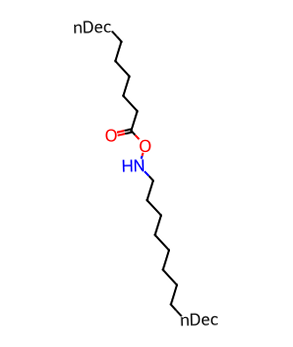 CCCCCCCCCCCCCCCCCCNOC(=O)CCCCCCCCCCCCCCC